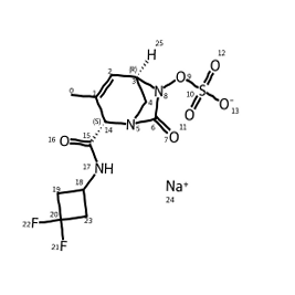 CC1=C[C@@H]2CN(C(=O)N2OS(=O)(=O)[O-])[C@@H]1C(=O)NC1CC(F)(F)C1.[Na+]